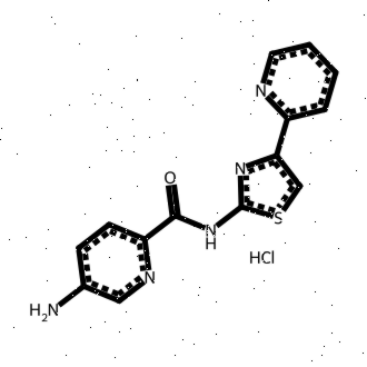 Cl.Nc1ccc(C(=O)Nc2nc(-c3ccccn3)cs2)nc1